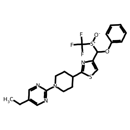 CCc1cnc(N2CCC(c3nc(C(Oc4ccccc4)[S+]([O-])C(F)(F)F)cs3)CC2)nc1